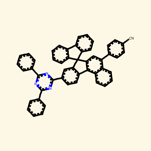 N#Cc1ccc(-c2cc3c(c4ccccc24)-c2ccc(-c4nc(-c5ccccc5)nc(-c5ccccc5)n4)cc2C32c3ccccc3-c3ccccc32)cc1